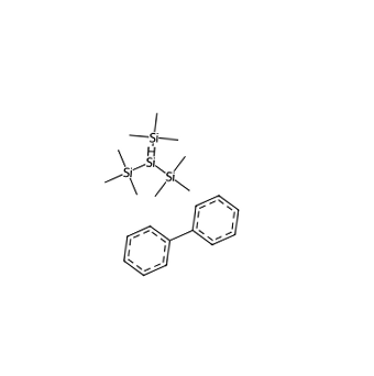 C[Si](C)(C)[SiH]([Si](C)(C)C)[Si](C)(C)C.c1ccc(-c2ccccc2)cc1